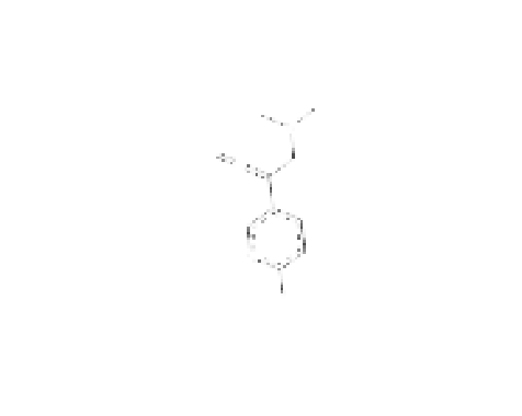 CN(C)CC(=C=O)c1ccc(Cl)nc1